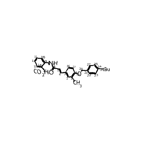 Cc1cc(/C=C/C(=O)Nc2ccccc2C(=O)O)ccc1OCc1ccc(C(C)(C)C)cc1